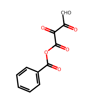 O=CC(=O)C(=O)C(=O)OC(=O)c1ccccc1